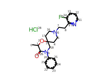 CC1OC2(CCN(CCc3ncccc3F)CC2)CN(c2ccccc2)C1=O.Cl